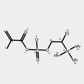 C=C(C)C(=O)OP(=O)([O-])OCC(CC)[N+](CCC)(CCC)CCC